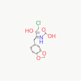 O=C(O)N[C@@H](Cc1ccc2c(c1)OCO2)[C@H](O)CCl